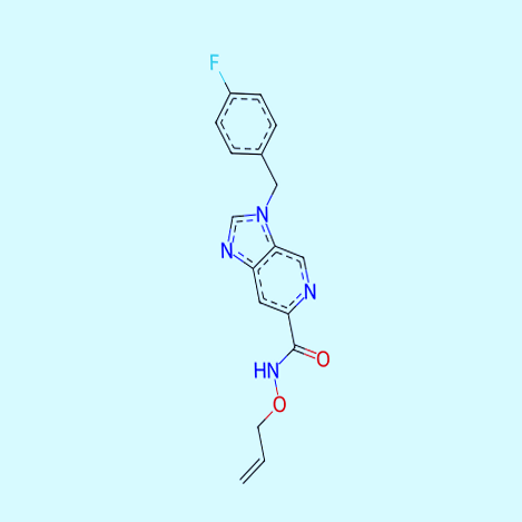 C=CCONC(=O)c1cc2ncn(Cc3ccc(F)cc3)c2cn1